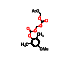 COc1cc(C)c(OC(=O)OCOC(=O)OCOC(C)=O)c(C)c1